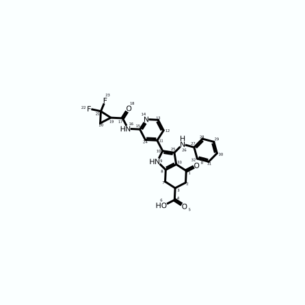 O=C1CC(C(=O)O)Cc2[nH]c(-c3ccnc(NC(=O)C4CC4(F)F)c3)c(Nc3ccccc3)c21